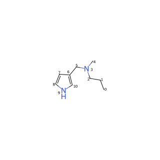 CCCN(C)Cc1cc[nH]c1